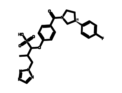 CC(Cn1ncnn1)C(Oc1ccc(C(=O)N2CC[C@H](c3ccc(F)cc3)C2)cc1)S(=O)(=O)O